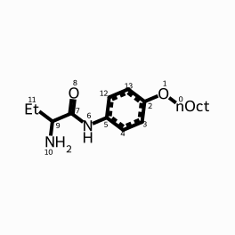 CCCCCCCCOc1ccc(NC(=O)C(N)CC)cc1